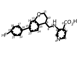 O=C(O)c1ccncc1NCC1CCOc2cc(-c3ccc(F)cc3)ccc21